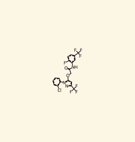 O=C(COc1cc(C(F)(F)F)nn1-c1ccccc1Cl)Nc1cc(C(F)(F)F)ccc1F